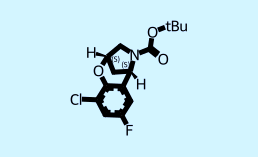 CC(C)(C)OC(=O)N1C[C@@H]2C[C@H]1c1cc(F)cc(Cl)c1O2